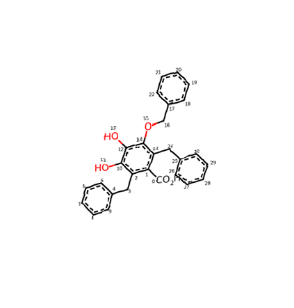 O=C(O)c1c(Cc2ccccc2)c(O)c(O)c(OCc2ccccc2)c1Cc1ccccc1